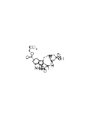 CC[C@]1(O)C[C@H]2CN(CCc3c([nH]c4ccc(C(=O)OCC(Cl)(Cl)Cl)cc34)[C@](I)(C(=O)OC)C2)C1